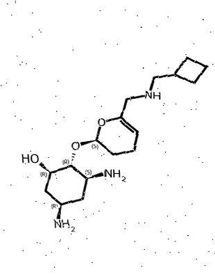 N[C@H]1C[C@@H](O)[C@H](O[C@@H]2CCC=C(CNCC3CCC3)O2)[C@@H](N)C1